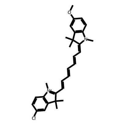 COc1ccc2c(c1)C(C)(C)\C(=C/C=C/C=C/C=C/C1=[N+](C)c3ccc(Cl)cc3C1(C)C)N2C